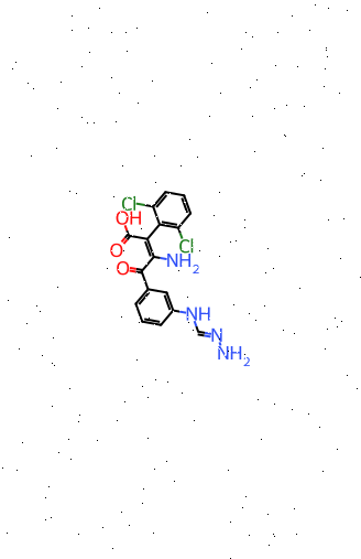 NN=CNc1cccc(C(=O)C(N)=C(C(=O)O)c2c(Cl)cccc2Cl)c1